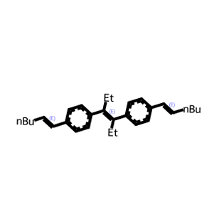 CCCC/C=C/c1ccc(/C(CC)=C(\CC)c2ccc(/C=C/CCCC)cc2)cc1